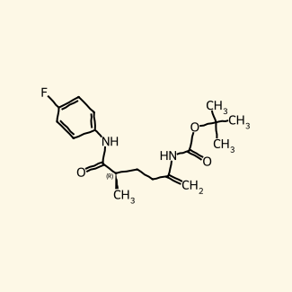 C=C(CC[C@@H](C)C(=O)Nc1ccc(F)cc1)NC(=O)OC(C)(C)C